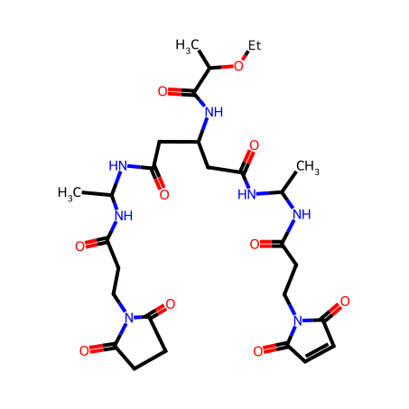 CCOC(C)C(=O)NC(CC(=O)NC(C)NC(=O)CCN1C(=O)C=CC1=O)CC(=O)NC(C)NC(=O)CCN1C(=O)CCC1=O